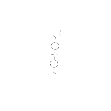 NNC(=O)c1ccc(S(=O)(=O)c2ccc(C(=O)NN)cc2)cc1